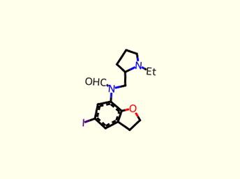 CCN1CCCC1CN(C=O)c1cc(I)cc2c1OCC2